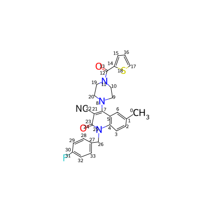 Cc1ccc2c(c1)c(N1CCN(C(=O)c3cccs3)CC1)c(C#N)c(=O)n2Cc1ccc(F)cc1